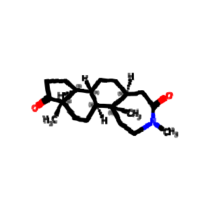 CN1CC[C@@]2(C)[C@@H](CC[C@@H]3[C@@H]2CC[C@]2(C)C(=O)CC[C@@H]32)CC1=O